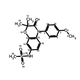 COc1ccc(N2C(=O)C(C)(C)Oc3cc(NS(C)(=O)=O)ccc32)cc1